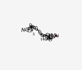 Cc1ncsc1-c1ccc(CNC(=O)[C@@H]2C[C@@H](O)CN2C(=O)C(NC(=O)c2ccc(OCCOCCCOc3ccc(N4C(=S)N(c5ccc(C#N)c(C(F)(F)F)c5)C(=O)C4(C)C)cc3)cc2)C(C)(C)C)cc1